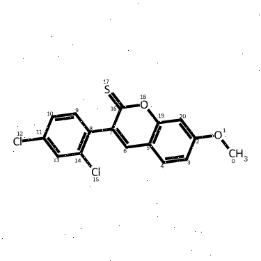 COc1ccc2cc(-c3ccc(Cl)cc3Cl)c(=S)oc2c1